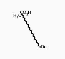 CCCCCCCCCCCCCCCCCCCCCCCCCCCCCC=C(C)C(=O)O